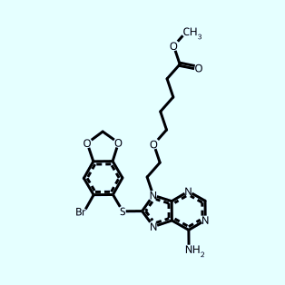 COC(=O)CCCCOCCn1c(Sc2cc3c(cc2Br)OCO3)nc2c(N)ncnc21